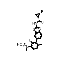 Cc1ccc(N(C)C(=O)O)c(F)c1-c1ccc2nc(NC(=O)[C@@H]3C[C@@H]3F)sc2c1